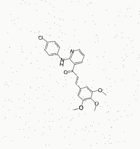 COc1cc(/C=C/C(=O)c2cccnc2Nc2ccc(Cl)cc2)cc(OC)c1OC